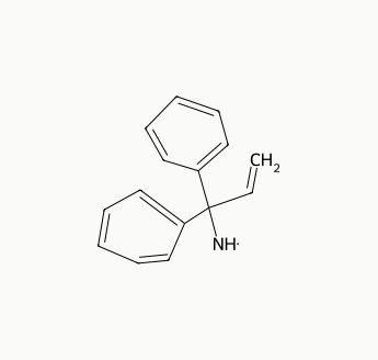 C=CC([NH])(c1ccccc1)c1ccccc1